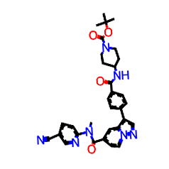 CN(C(=O)c1ccn2ncc(-c3ccc(C(=O)NC4CCN(C(=O)OC(C)(C)C)CC4)cc3)c2c1)c1ccc(C#N)cn1